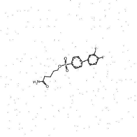 NC(=O)CCCCOS(=O)(=O)c1ccc(-c2ccc(F)c(F)c2)cc1